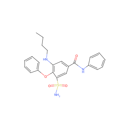 CCCCNc1cc(C(=O)Nc2ccccc2)cc(S(N)(=O)=O)c1Oc1ccccc1